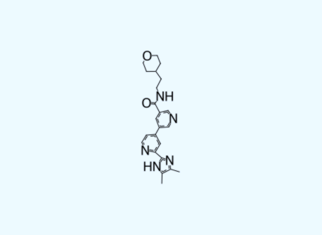 Cc1nc(-c2cc(-c3cncc(C(=O)NCCC4CCOCC4)c3)ccn2)[nH]c1C